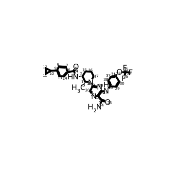 C[C@@H]1[C@H](NC(=O)c2ccc(C3CC3)cc2)CCCN1c1cnc(C(N)=O)c(Nc2ccc(OC(F)(F)F)cc2)n1